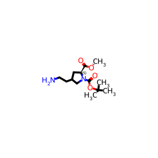 COC(=O)[C@@H]1CC(CCN)CN1C(=O)OC(C)(C)C